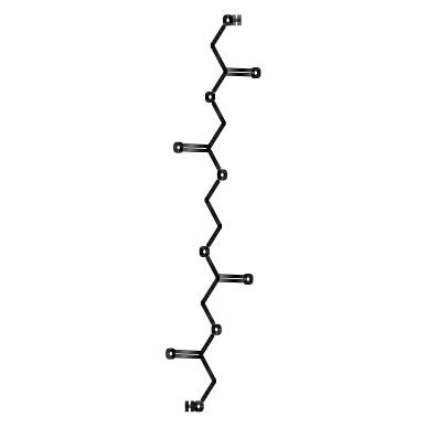 O=C(CO)OCC(=O)OCCOC(=O)COC(=O)CO